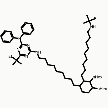 CCCCCCC1CCC(CCCCCCCCCNc2nc(N(c3ccccc3)c3ccccc3)nc(C(C)(C)CC)n2)C(CCCCCCCCCNC(C)(C)CC)C1CCCCCC